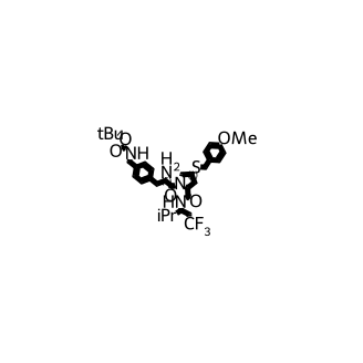 COc1ccc(CS[C@@H]2CC(C(=O)NC(CC(F)(F)F)C(C)C)N(C(=O)[C@@H](N)Cc3ccc(CNC(=O)OC(C)(C)C)cc3)C2)cc1